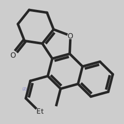 CC/C=C\c1c(C)c2ccccc2c2oc3c(c12)C(=O)CCC3